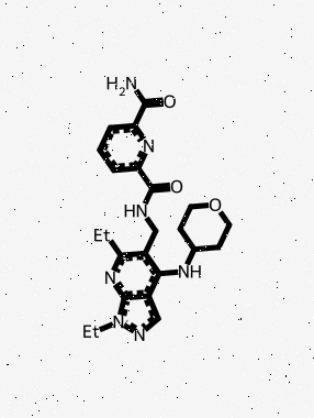 CCc1nc2c(cnn2CC)c(NC2CCOCC2)c1CNC(=O)c1cccc(C(N)=O)n1